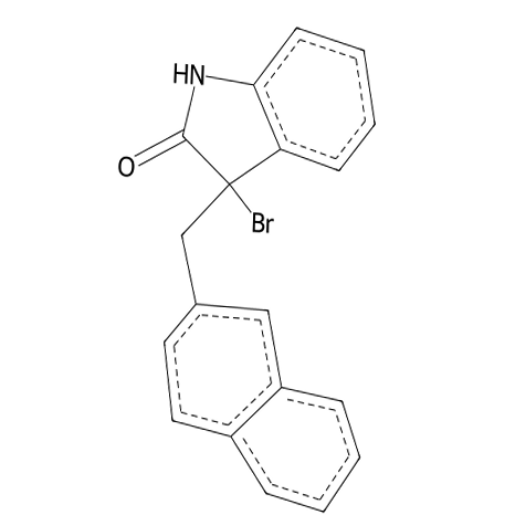 O=C1Nc2ccccc2C1(Br)Cc1ccc2ccccc2c1